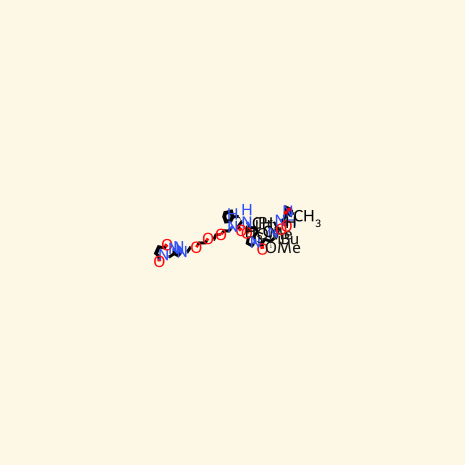 CC[C@H](C)[C@@H]([C@@H](CC(=O)N1CCC[C@H]1[C@H](OC)[C@@H](C)C(=O)N[C@@H](Cc1ccccc1)C(=O)NCCOCCOCCOCCn1cc(CN2C(=O)C=CC2=O)nn1)OC)N(C)C(=O)[C@@H](NC(=O)[C@@H]1C2CC(C2)N1C)C(C)C